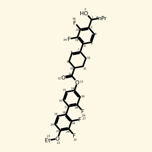 CCCC(O)c1ccc(C2=CCC(C(=O)Oc3ccc(-c4ccc(OCC)c(F)c4F)c(F)c3)CC2)c(F)c1F